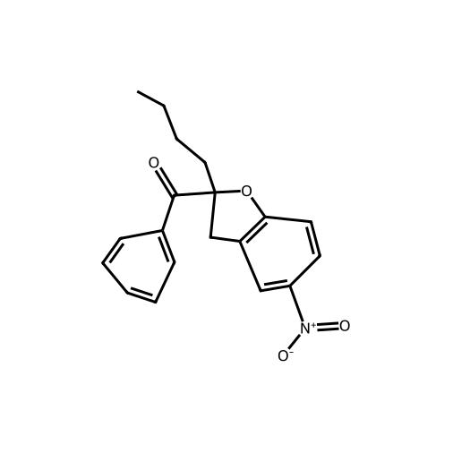 CCCCC1(C(=O)c2ccccc2)Cc2cc([N+](=O)[O-])ccc2O1